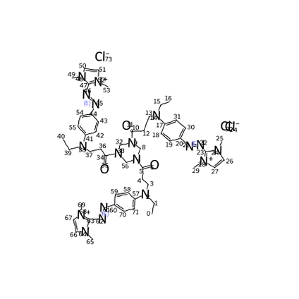 CCN(CCC(=O)N1CN(C(=O)CCN(CC)c2ccc(/N=N/c3n(C)cc[n+]3C)cc2)CN(C(=O)CCN(CC)c2ccc(/N=N/c3n(C)cc[n+]3C)cc2)C1)c1ccc(/N=N/c2n(C)cc[n+]2C)cc1.[Cl-].[Cl-].[Cl-]